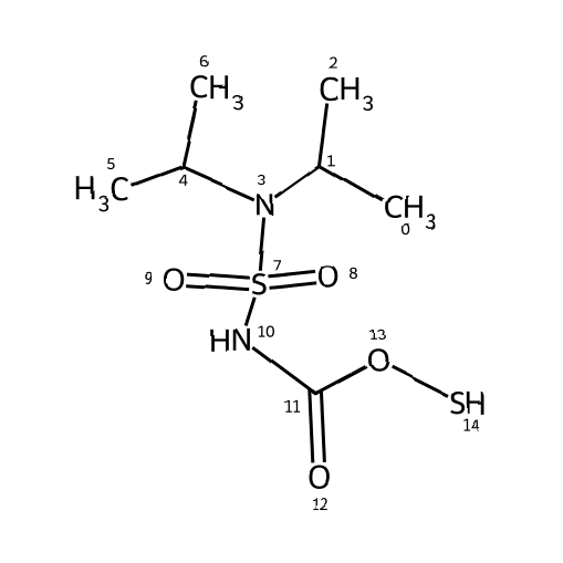 CC(C)N(C(C)C)S(=O)(=O)NC(=O)OS